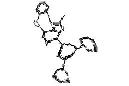 Cc1nc2c(-c3cc(-c4ccccc4)cc(-c4ccccc4)c3)ccc3c2n1-c1ccccc1O3